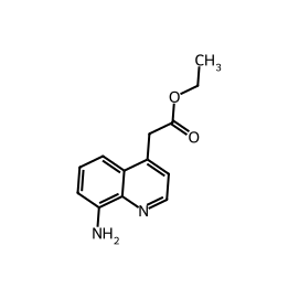 CCOC(=O)Cc1ccnc2c(N)cccc12